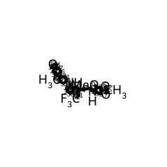 COc1cc(S(C)(=O)=O)ccc1NCC#Cc1cc2c(N[C@H]3CC[C@@](C)(N4CCC5(CC4)COC5)CC3)cccc2n1CC(F)(F)F